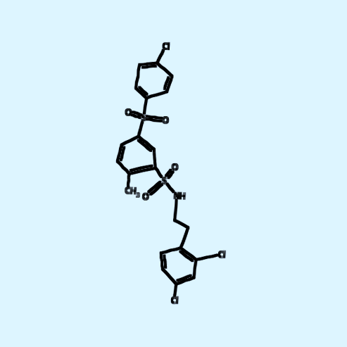 Cc1ccc(S(=O)(=O)c2ccc(Cl)cc2)cc1S(=O)(=O)NCCc1ccc(Cl)cc1Cl